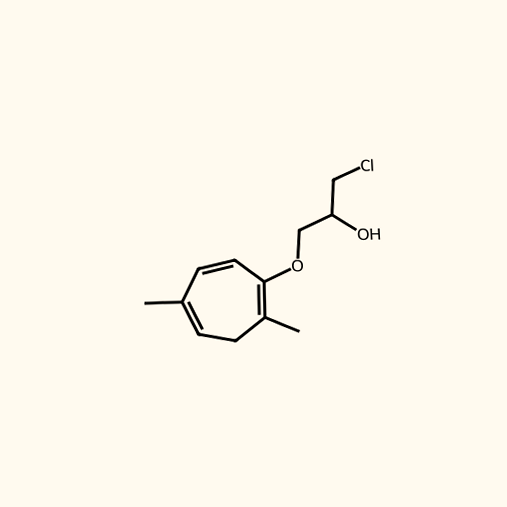 CC1=CCC(C)=C(OCC(O)CCl)C=C1